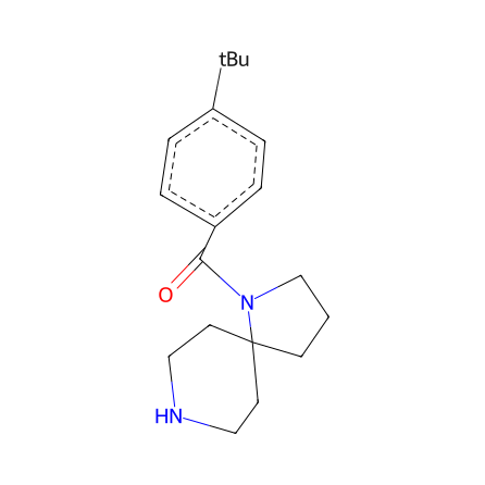 CC(C)(C)c1ccc(C(=O)N2CCCC23CCNCC3)cc1